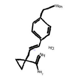 CCCCCCCCCCc1ccc(/C=C/C2(C(=N)N)CC2)cc1.Cl